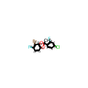 CC1(c2ccc(Cl)cc2F)Oc2ccc(F)c(Br)c2O1